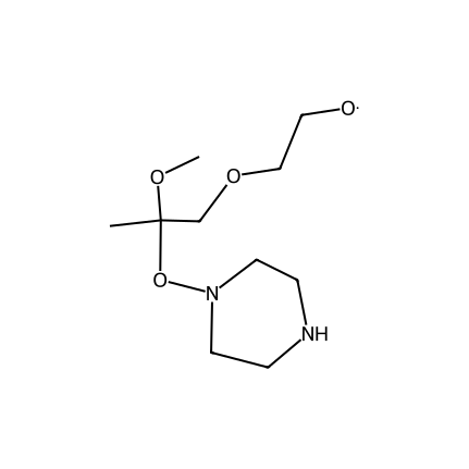 COC(C)(COCC[O])ON1CCNCC1